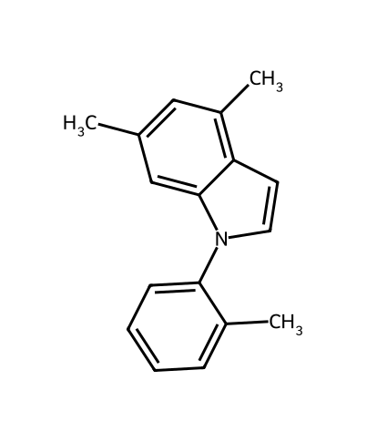 Cc1cc(C)c2ccn(-c3ccccc3C)c2c1